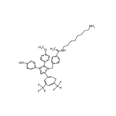 C=C(NCCCCCCCCN)c1ccc(Cn2c(C3=CCC(C(F)(F)F)=CC(C(F)(F)F)=C3)nc(-c3ccc(O)cc3)c2-c2ccc(OC)cc2)cc1